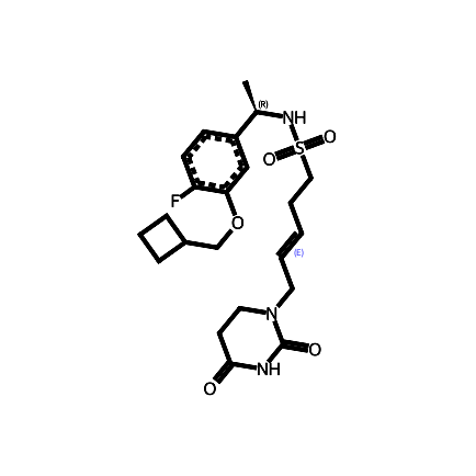 C[C@@H](NS(=O)(=O)CC/C=C/CN1CCC(=O)NC1=O)c1ccc(F)c(OCC2CCC2)c1